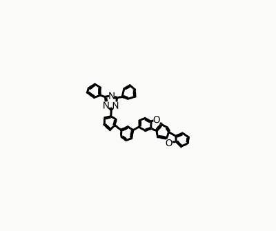 c1ccc(-c2nc(-c3ccccc3)nc(-c3cccc(-c4cccc(-c5ccc6oc7cc8c(cc7c6c5)oc5ccccc58)c4)c3)n2)cc1